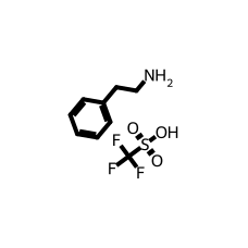 NCCc1ccccc1.O=S(=O)(O)C(F)(F)F